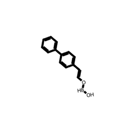 OBO/C=C/c1ccc(-c2ccccc2)cc1